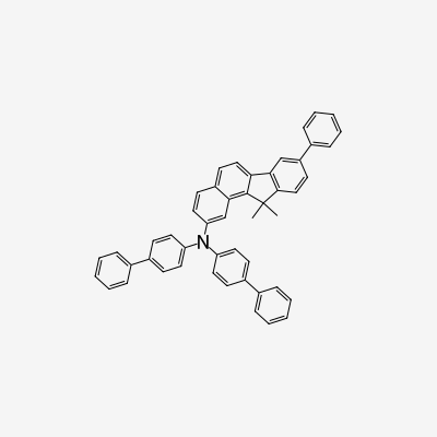 CC1(C)c2ccc(-c3ccccc3)cc2-c2ccc3ccc(N(c4ccc(-c5ccccc5)cc4)c4ccc(-c5ccccc5)cc4)cc3c21